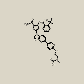 C[C@@H](Oc1cc(-n2cnc3cc(-c4ccc(NCCN(C)C(=O)O)nc4)ccc32)sc1C(N)=O)c1ccccc1C(F)(F)F